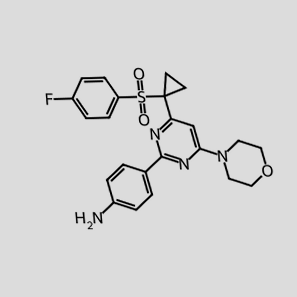 Nc1ccc(-c2nc(N3CCOCC3)cc(C3(S(=O)(=O)c4ccc(F)cc4)CC3)n2)cc1